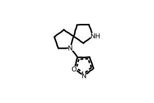 c1cc(N2CCCC23CCNC3)on1